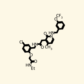 CCNC(=O)COc1ccc(Cl)cc1CNC(=O)Cc1c(C)ccn(NCc2cccc(OC(F)(F)F)c2)c1=O